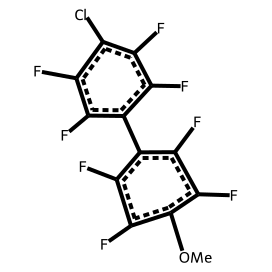 COc1c(F)c(F)c(-c2c(F)c(F)c(Cl)c(F)c2F)c(F)c1F